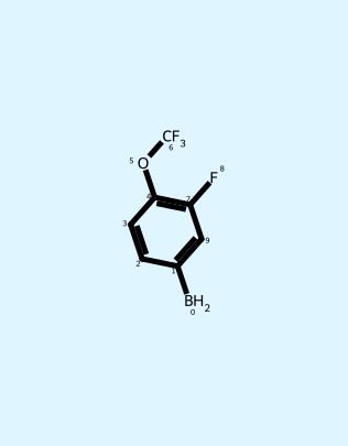 Bc1ccc(OC(F)(F)F)c(F)c1